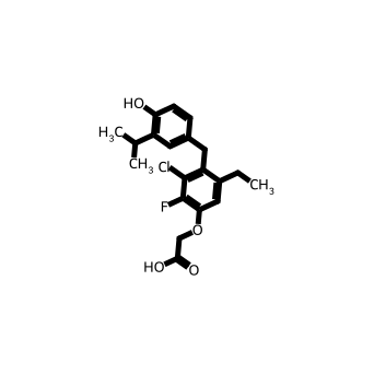 CCc1cc(OCC(=O)O)c(F)c(Cl)c1Cc1ccc(O)c(C(C)C)c1